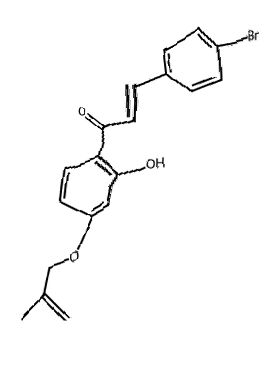 C=C(C)COc1ccc(C(=O)C=Cc2ccc(Br)cc2)c(O)c1